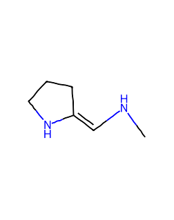 CN/C=C1\CCCN1